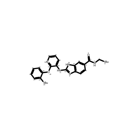 CC(C)(C)CNC(=O)c1ccc2nc(Nc3cccnc3Oc3ccccc3C(C)(C)C)[nH]c2c1